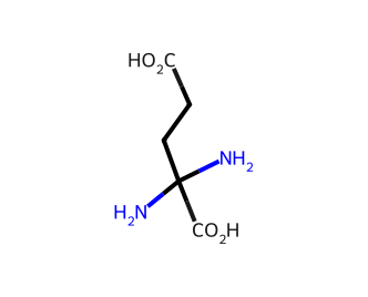 NC(N)(CCC(=O)O)C(=O)O